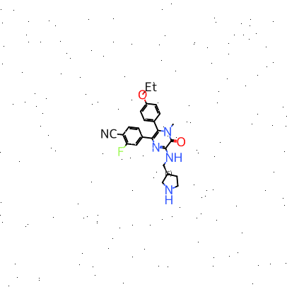 CCOc1ccc(-c2c(-c3ccc(C#N)c(F)c3)nc(NC[C@H]3CCNC3)c(=O)n2C)cc1